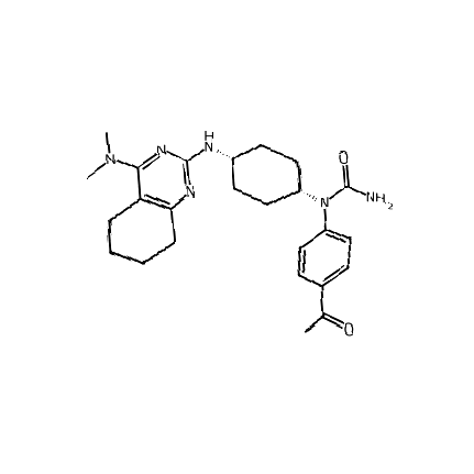 CC(=O)c1ccc(N(C(N)=O)[C@H]2CC[C@@H](Nc3nc4c(c(N(C)C)n3)CCCC4)CC2)cc1